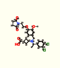 COc1cc(CN(C(C)c2ccc(Cl)c(Cl)c2)[C@H]2C[C@@H](C(=O)O)C2)ccc1OCCN1C(=O)CCC1=O